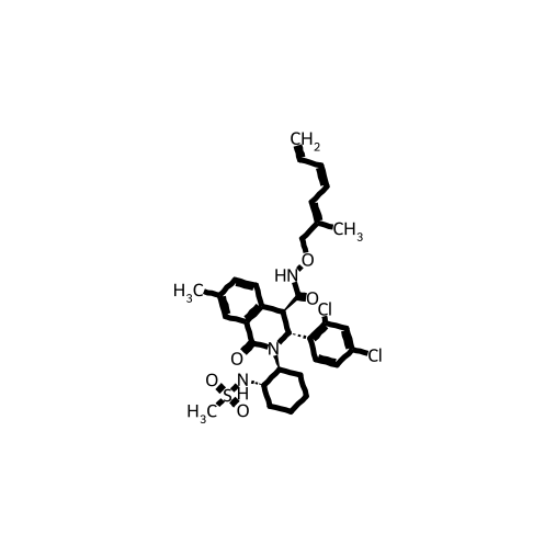 C=C/C=C\C=C(/C)CONC(=O)[C@@H]1c2ccc(C)cc2C(=O)N([C@H]2CCCC[C@@H]2NS(C)(=O)=O)[C@H]1c1ccc(Cl)cc1Cl